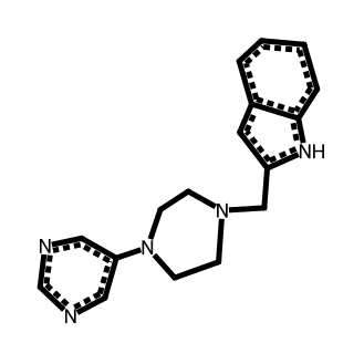 c1ccc2[nH]c(CN3CCN(c4cncnc4)CC3)cc2c1